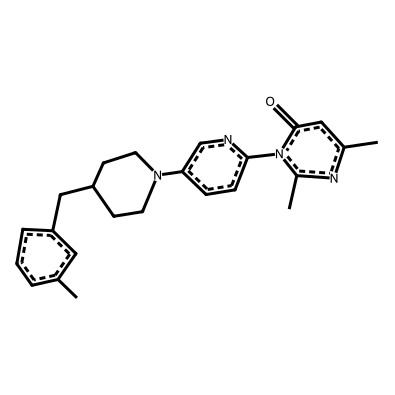 Cc1cccc(CC2CCN(c3ccc(-n4c(C)nc(C)cc4=O)nc3)CC2)c1